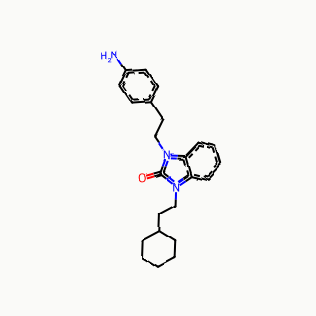 Nc1ccc(CCn2c(=O)n(CCC3CCCCC3)c3ccccc32)cc1